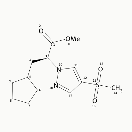 COC(=O)[C@H](CC1CCCC1)n1cc(S(C)(=O)=O)cn1